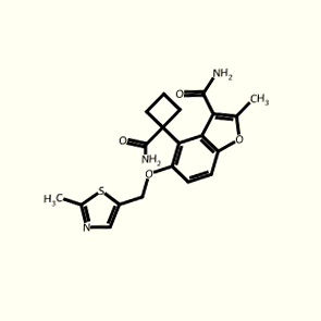 Cc1ncc(COc2ccc3oc(C)c(C(N)=O)c3c2C2(C(N)=O)CCC2)s1